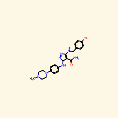 CN1CCN(c2ccc(NC3N=NC(NCc4ccc(O)cc4)=C3C(N)=O)cc2)CC1